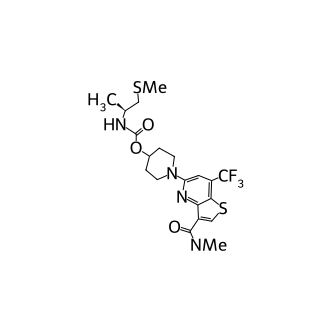 CNC(=O)c1csc2c(C(F)(F)F)cc(N3CCC(OC(=O)N[C@@H](C)CSC)CC3)nc12